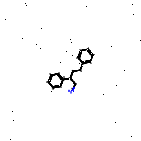 NCC(CCc1ccccc1)c1ccccc1